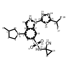 CC1CCN(c2cc(S(=O)(=O)NC3(C#N)CC3)cc3c2cnn3-c2nnc(C(F)F)s2)C1